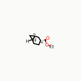 CCOC(=O)[C@@H]1CC[C@@H]2C[C@H]2C1